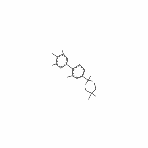 CCCC1(C)COC(O)(c2ccc(-c3cc(F)c(C(F)(F)F)c(F)c3)c(F)c2)OC1